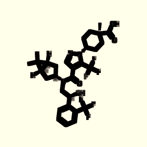 CC1(C)[C@@H]2C[C@H](N(C[C@@H](O)c3ccccc3C(F)(F)F)C(=O)c3cnn([C@H]4CC[C@](C)(C(=O)O)CC4)c3C(F)(F)F)C[C@@H]21